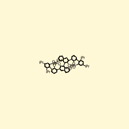 CC(C)c1cc(C(C)C)c(-c2cccc3c2OP(=O)(O)Oc2c-3cc3ccccc3c2-c2c3c(cc4ccccc24)-c2cccc(-c4c(C(C)C)cc(C(C)C)cc4C(C)C)c2OP(=O)(O)O3)c(C(C)C)c1